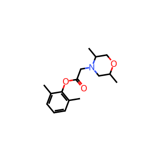 Cc1cccc(C)c1OC(=O)CN1CC(C)OCC1C